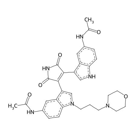 CC(=O)Nc1ccc2[nH]cc(C3=C(c4cn(CCCN5CCOCC5)c5ccc(NC(C)=O)cc45)C(=O)NC3=O)c2c1